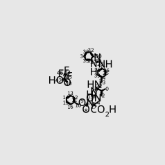 Cc1cn(C[C@H](NC(=O)OCc2ccccc2)C(=O)O)c(=O)nc1NCc1ccc(Nc2nc3ccccc3[nH]2)cc1.O=C(O)C(F)(F)F